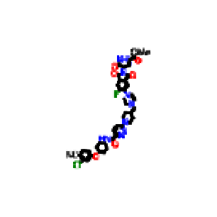 COC(=O)CCC(C(N)=O)N1C(=O)c2cc(F)c(N3CCN(CC4CCN(c5ccc(C(=O)N[C@H]6CC[C@H](Oc7ccc(C#N)c(Cl)c7)CC6)nn5)CC4)CC3)cc2C1=O